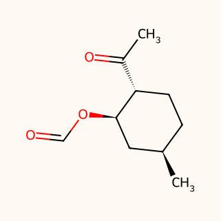 CC(=O)[C@@H]1CC[C@@H](C)C[C@H]1OC=O